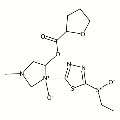 CC[S+]([O-])c1nnc([N+]2([O-])CN(C)CC2OC(=O)C2CCCO2)s1